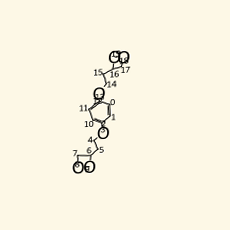 c1cc(OCCC2COO2)ccc1OCCC1COO1